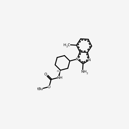 Cc1cccc2nc(N)n(C3CCC[C@H](NC(=O)OC(C)(C)C)C3)c12